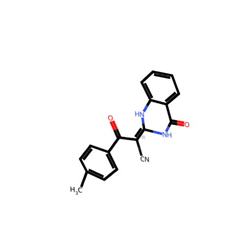 Cc1ccc(C(=O)/C(C#N)=C2/NC(=O)c3ccccc3N2)cc1